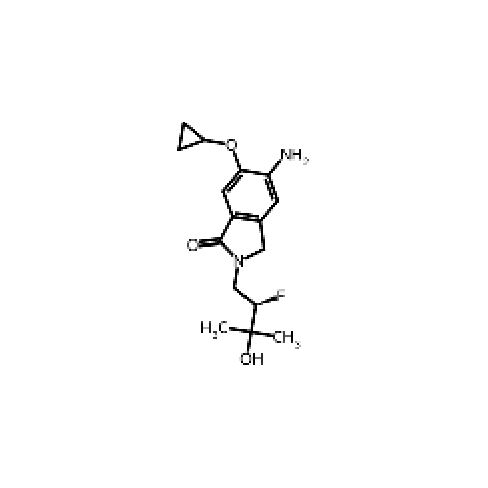 CC(C)(O)[C@H](F)CN1Cc2cc(N)c(OC3CC3)cc2C1=O